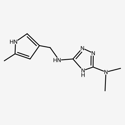 Cc1cc(CNc2nnc(N(C)C)[nH]2)c[nH]1